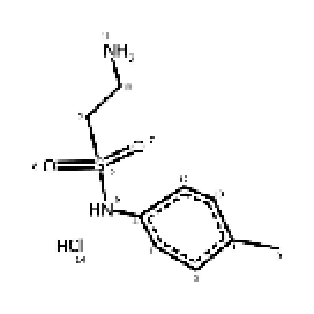 Cc1ccc(NS(=O)(=O)CCN)cc1.Cl